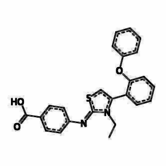 CCn1c(-c2ccccc2Oc2ccccc2)csc1=Nc1ccc(C(=O)O)cc1